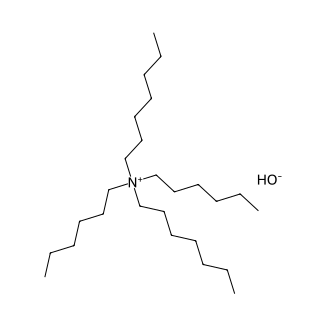 CCCCCCC[N+](CCCCCC)(CCCCCC)CCCCCCC.[OH-]